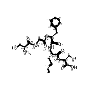 CSCC[C@H](NC(=O)[C@H](Cc1ccccc1)NC(=O)CNC(=O)[C@@H](N)CS)C(=O)N[C@@H](CS)C(=O)O